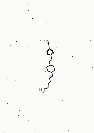 CCCC/C=C/C1CCC(CCc2ccc(C#N)cc2)CC1